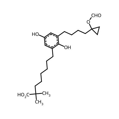 CC(C)(CCCCCCc1cc(O)cc(CCCCC2(OC=O)CC2)c1O)C(=O)O